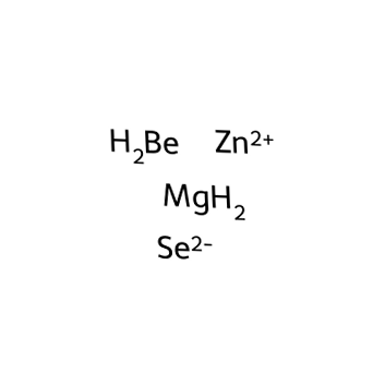 [BeH2].[MgH2].[Se-2].[Zn+2]